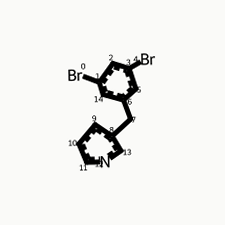 Brc1cc(Br)cc(Cc2cccnc2)c1